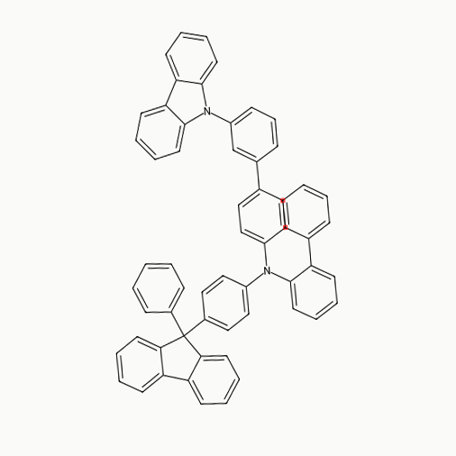 c1ccc(-c2ccccc2N(c2ccc(-c3cccc(-n4c5ccccc5c5ccccc54)c3)cc2)c2ccc(C3(c4ccccc4)c4ccccc4-c4ccccc43)cc2)cc1